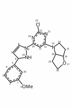 COc1cccc(C2C=CN(c3cc(N4CCC5OCCC54)nc(Cl)n3)N2)c1